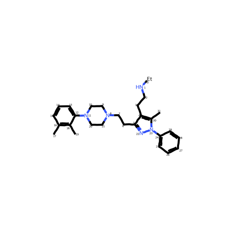 CCNCCc1c(CCN2CCN(c3cccc(C)c3C)CC2)nn(-c2ccccc2)c1C